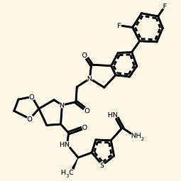 C[C@@H](NC(=O)C1CC2(CN1C(=O)CN1Cc3ccc(-c4ccc(F)cc4F)cc3C1=O)OCCO2)c1cc(C(=N)N)cs1